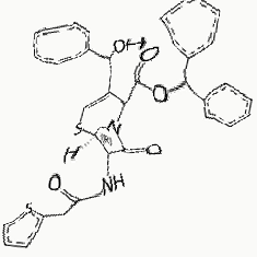 O=C(Cc1cccs1)NC1C(=O)N2C(C(=O)OC(c3ccccc3)c3ccccc3)C(C(O)c3ccccc3)=CS[C@H]12